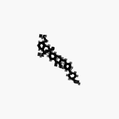 COc1cccc(OC)c1CS(=O)(=O)c1ccc2c(c1)S/C(=C/c1ccc(N3CCN(C)CC3)cc1)C(=O)N2